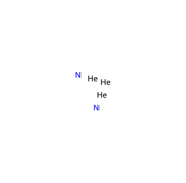 [He].[He].[He].[N].[N]